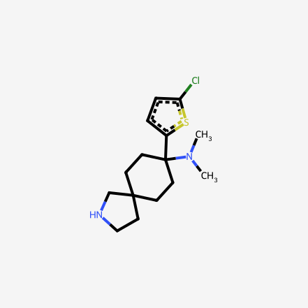 CN(C)C1(c2ccc(Cl)s2)CCC2(CCNC2)CC1